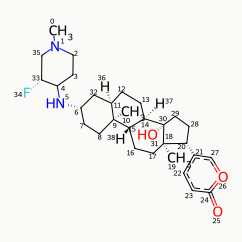 CN1CCC(N[C@H]2CC[C@@]3(C)[C@H](CC[C@@H]4[C@@H]3CC[C@]3(C)[C@@H](c5ccc(=O)oc5)CC[C@]43O)C2)[C@H](F)C1